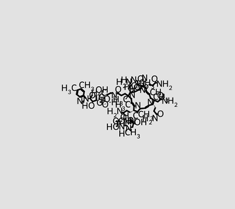 C/C1=C2N=C(/C=C3N=C(/C(C)=C4/[C@@H](CCC(N)=O)[C@](C)(CC(N)=O)[C@](C)([C@@H]5N=C1[C@](C)(CCC(=O)NCC(C)OP(=O)([O-])O[C@H]1[C@@H](O)[C@@H](n6cnc7cc(C)c(C)cc76)O[C@@H]1CO)[C@H]5CC(N)=O)[N]4[Co+][C]#N)[C@@](C)(CC(N)=O)[C@@H]\3CCC(N)=O)C(C)(C)[C@@H]/2CCC(N)=O.CN(CC(=O)O)C(=N)NP(=O)(O)O